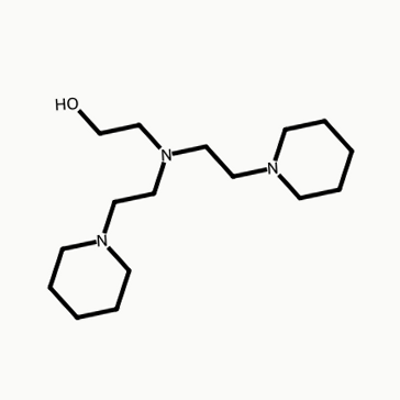 OCCN(CCN1CCCCC1)CCN1CCCCC1